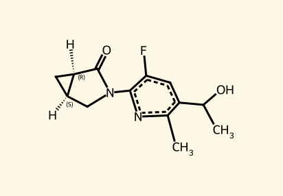 Cc1nc(N2C[C@H]3C[C@H]3C2=O)c(F)cc1C(C)O